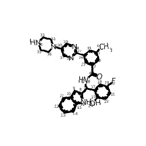 Cc1cc(C(=O)NC(c2cc3ccccc3[nH]2)c2cc(F)ccc2O)cc(-c2ncc(N3CCNCC3)cn2)c1